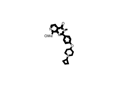 COc1nccc2c(=O)n(C)c(-c3ccc(OC4CCN(C5CCC5)CC4)cc3)nc12